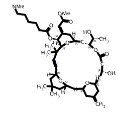 C=C1C[C@@H]2C[C@@H]3CC(C)(C)C[C@H](/C=C/C(C)(C)[C@]4(O)O[C@@H](C/C(=C\C(=O)OC)[C@@H]4OC(=O)CCCCCNC)C[C@H]([C@@H](C)O)OC(=O)C[C@H](O)C[C@H](C1)O2)O3